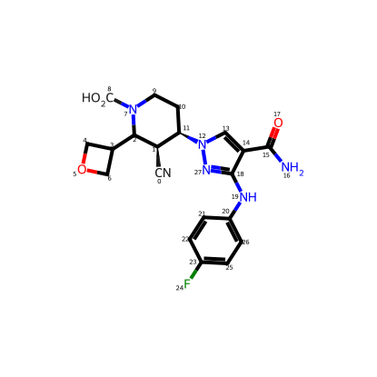 N#C[C@H]1C(C2COC2)N(C(=O)O)CC[C@H]1n1cc(C(N)=O)c(Nc2ccc(F)cc2)n1